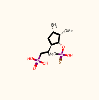 B[C@H]1C[C@H](CCP(=O)(O)O)[C@@H](OP(O)(=S)OC)[C@H]1OC